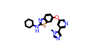 Cn1cncc1-c1cncc(Oc2ccc3nc(NC4CCCCC4)sc3c2)c1